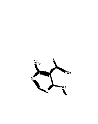 CNc1ncnc(N)c1C(=N)I